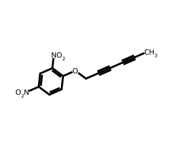 CC#CC#CCOc1ccc([N+](=O)[O-])cc1[N+](=O)[O-]